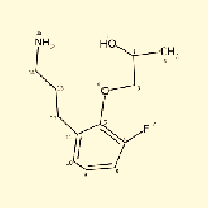 CC(O)COc1c(F)cccc1CCCN